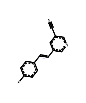 N#Cc1cncc(/C=C/c2ccc(F)cc2)c1